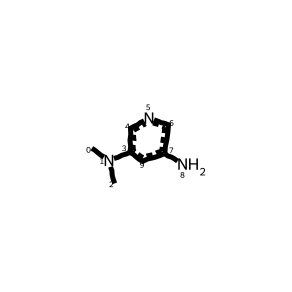 CN(C)c1cncc(N)c1